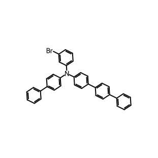 Brc1cccc(N(c2ccc(-c3ccccc3)cc2)c2ccc(-c3ccc(-c4ccccc4)cc3)cc2)c1